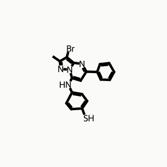 Cc1nn2c(Nc3ccc(S)cc3)cc(-c3ccccc3)nc2c1Br